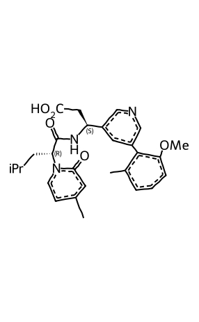 COc1cccc(C)c1-c1cncc([C@H](CC(=O)O)NC(=O)[C@@H](CC(C)C)n2ccc(C)cc2=O)c1